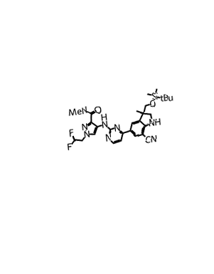 CNC(=O)c1nn(CC(F)F)cc1Nc1nccc(-c2cc(C#N)c3c(c2)C(C)(CO[Si](C)(C)C(C)(C)C)CN3)n1